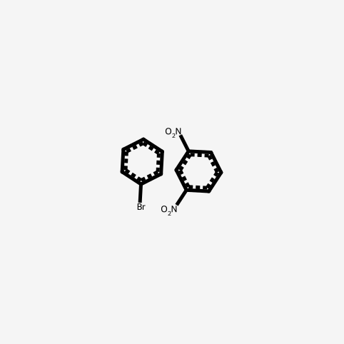 Brc1ccccc1.O=[N+]([O-])c1cccc([N+](=O)[O-])c1